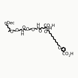 CCCCCCCCCCCCCC[C](C)OCCOCCNC(=O)COCCOCCNC(=O)CC[C@H](NC(=O)CCCCCCCCCCCOc1cccc(C(=O)O)c1)C(=O)O